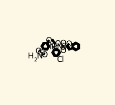 NS(=O)(=O)c1ccc2c(c1)N(c1ccc(Cl)cc1NS(=O)(=O)c1cc3ccccc3o1)C(=O)CO2